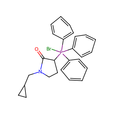 O=C1C(P(Br)(c2ccccc2)(c2ccccc2)c2ccccc2)CCN1CC1CC1